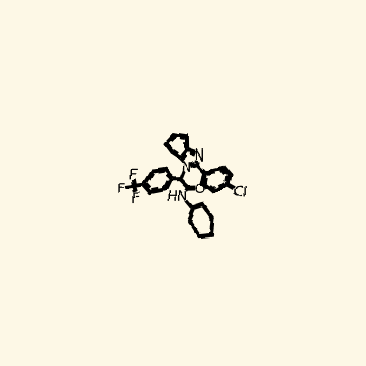 O=C(NC1CCCCC1)C(c1ccc(C(F)(F)F)cc1)n1c(-c2ccc(Cl)cc2)nc2ccccc21